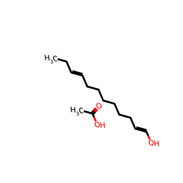 CC(=O)O.CCC=CCCCCCCC=CO